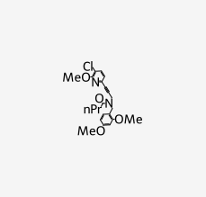 CCCC(=O)N(CC#Cc1ccc(Cl)c(OC)n1)Cc1ccc(OC)cc1OC